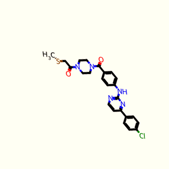 CSCC(=O)N1CCN(C(=O)c2ccc(Nc3nccc(-c4ccc(Cl)cc4)n3)cc2)CC1